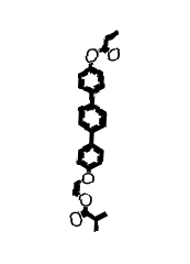 C=CC(=O)Oc1ccc(-c2ccc(-c3ccc(O/C=C\OC(=O)C(=C)C)cc3)cc2)cc1